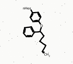 C=CCCCC(Oc1ccc(CCCCCC)cc1)c1ccccc1